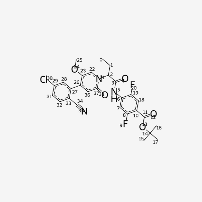 CCC(C(=O)Nc1cc(F)c(C(=O)OC(C)(C)C)cc1F)n1cc(OC)c(-c2cc(Cl)ccc2C#N)cc1=O